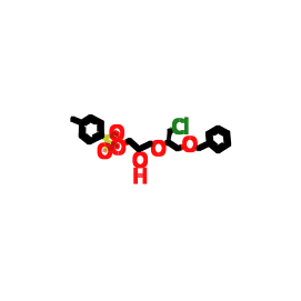 Cc1ccc(S(=O)(=O)OC[C@H](O)CO[C@@H](CCl)COCc2ccccc2)cc1